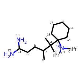 CC(C)[15N](C(C)C)C1(C(C)(C)C(C)CCC(N)N)CCCCC1